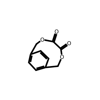 O=C1OCc2ccc(cc2)COC1=O